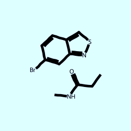 Brc1ccc2csnc2c1.CCC(=O)NC